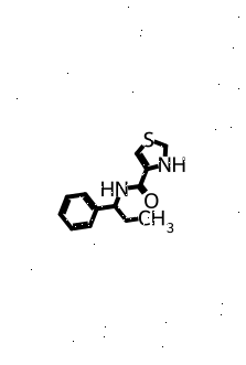 CCC(NC(=O)C1=CSCN1)c1ccccc1